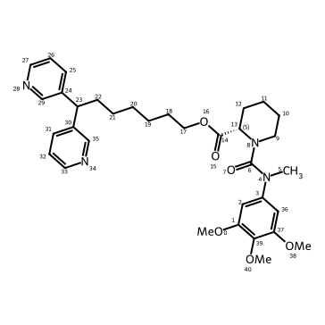 COc1cc(N(C)C(=O)N2CCCC[C@H]2C(=O)OCCCCCCC(c2cccnc2)c2cccnc2)cc(OC)c1OC